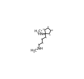 CNCCCCC1(NC)CCCC1